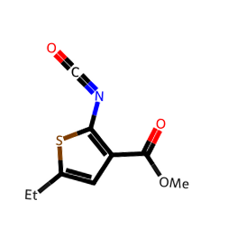 CCc1cc(C(=O)OC)c(N=C=O)s1